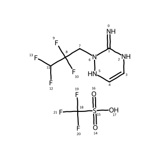 N=C1NC=CNN1CC(F)(F)C(F)F.O=S(=O)(O)C(F)(F)F